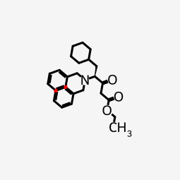 CCOC(=O)CC(=O)[C@H](CC1CCCCC1)N(Cc1ccccc1)Cc1ccccc1